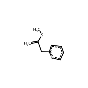 C=C(Cc1ccccn1)SC